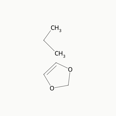 C1=COCO1.CCC